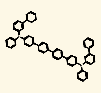 C1=CCCC(c2cccc(N(c3ccccc3)c3ccc(-c4ccc(-c5ccc(-c6ccc(N(c7ccccc7)c7cccc(-c8ccccc8)c7)cc6)cc5)cc4)cc3)c2)=C1